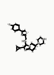 Fc1ccc(-c2csc(CNc3c(C4CC4)nc4ccc(N5CCNCC5)cn34)n2)cc1